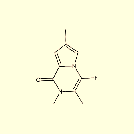 Cc1cc2c(=O)n(C)c(C)c(F)n2c1